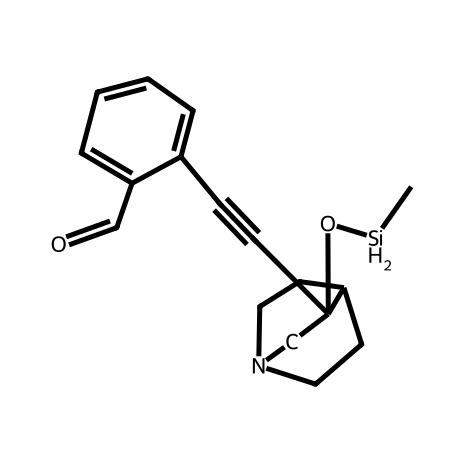 C[SiH2]OC1(C#Cc2ccccc2C=O)CN2CCC1CC2